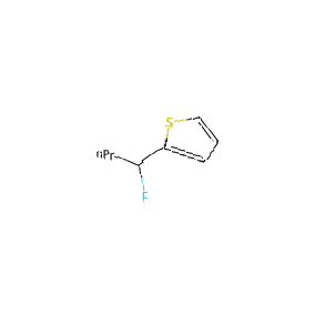 CCCC(F)c1cccs1